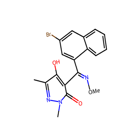 CO/N=C(\c1c(O)c(C)nn(C)c1=O)c1cc(Br)cc2ccccc12